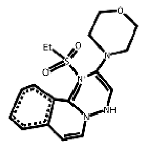 CCS(=O)(=O)[N+]1=C2c3ccccc3C=CN2NC=C1N1CCOCC1